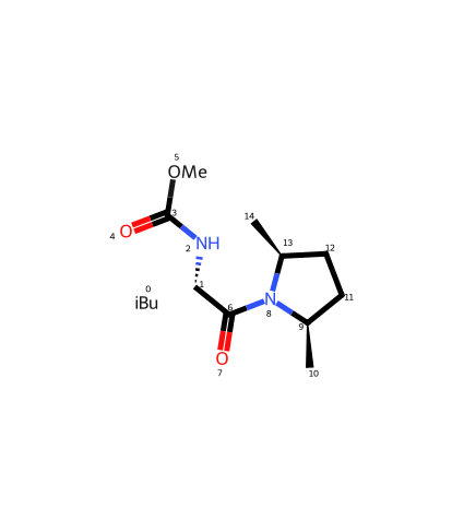 CC[C@H](C)[C@H](NC(=O)OC)C(=O)N1[C@H](C)CC[C@@H]1C